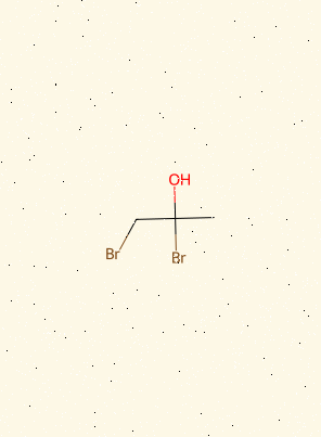 CC(O)(Br)CBr